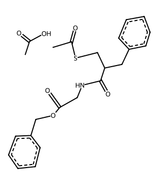 CC(=O)O.CC(=O)SCC(Cc1ccccc1)C(=O)NCC(=O)OCc1ccccc1